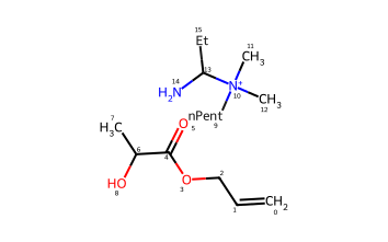 C=CCOC(=O)C(C)O.CCCCC[N+](C)(C)C(N)CC